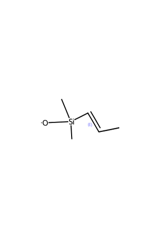 C/C=C/[Si](C)(C)[O]